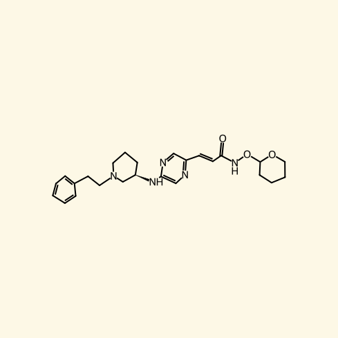 O=C(/C=C/c1cnc(N[C@@H]2CCCN(CCc3ccccc3)C2)cn1)NOC1CCCCO1